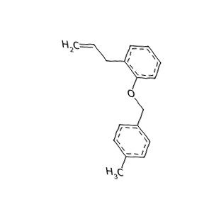 C=CCc1ccccc1OCc1ccc(C)cc1